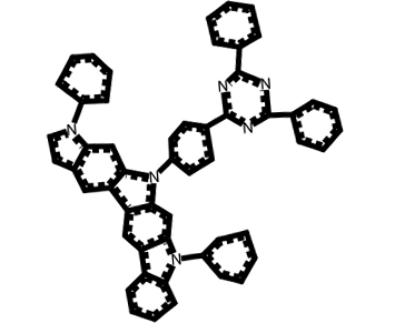 c1ccc(-c2nc(-c3ccccc3)nc(-c3ccc(-n4c5cc6c(ccn6-c6ccccc6)cc5c5cc6c7ccccc7n(-c7ccccc7)c6cc54)cc3)n2)cc1